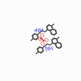 CNC(CCc1ccc(C)c2ccccc12)(OC(=O)C(=O)OC(CCc1ccc(C)c2ccccc12)(NC)c1ccc(C)cc1)c1ccc(C)cc1